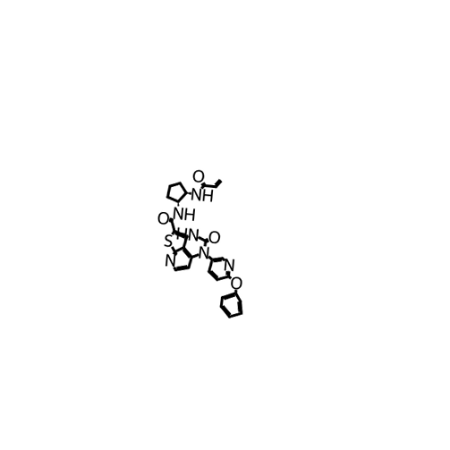 C=CC(=O)N[C@@H]1CCC[C@H]1NC(=O)c1sc2nccc3c2c1NC(=O)N3c1ccc(Oc2ccccc2)nc1